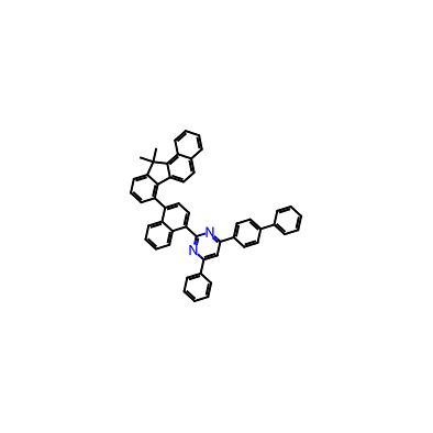 CC1(C)c2cccc(-c3ccc(-c4nc(-c5ccccc5)cc(-c5ccc(-c6ccccc6)cc5)n4)c4ccccc34)c2-c2ccc3ccccc3c21